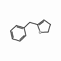 C1=C(Cc2ccccc2)OCC1